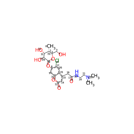 C[C@@H]1C(CO)O[C@@H](Oc2cc3oc(=O)cc(CC(=O)NCCN(C)C)c3cc2Cl)C(O)C1O